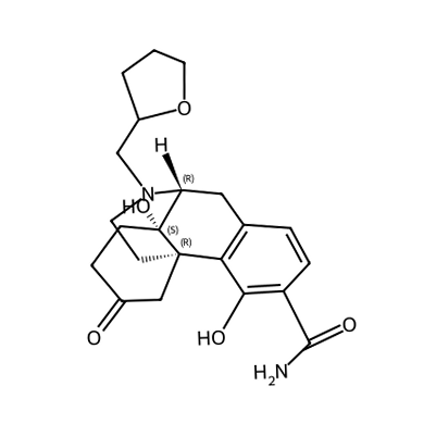 NC(=O)c1ccc2c(c1O)[C@]13CCN(CC4CCCO4)[C@H](C2)[C@]1(O)CCC(=O)C3